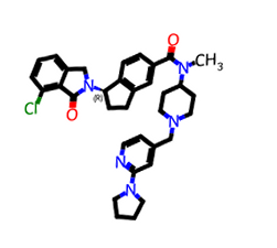 CN(C(=O)c1ccc2c(c1)CC[C@H]2N1Cc2cccc(Cl)c2C1=O)C1CCN(Cc2ccnc(N3CCCC3)c2)CC1